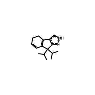 CC(C)C1(C(C)C)C2=C(CCC=C2)c2c[nH]nc21